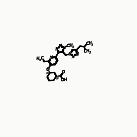 CCc1nc(-c2nnn(C)c2Cn2cc(CC(C)C)nn2)ccc1O[C@H]1CCC[C@H](C(=O)O)C1